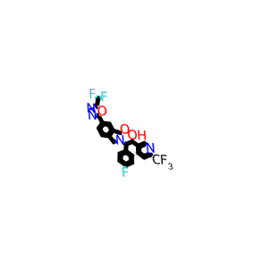 O=C1c2cc(-c3nnc(C(F)F)o3)ccc2CN1C(c1ccc(F)cc1)[C@H](O)c1ccc(C(F)(F)F)nc1